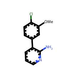 COc1cc(-c2cccnc2N)ccc1Cl